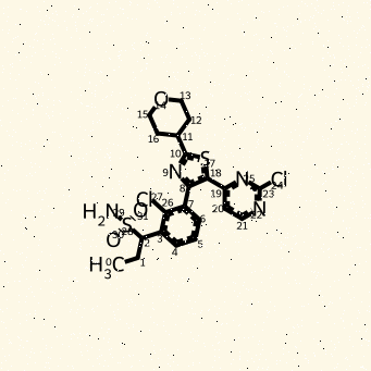 CCC(c1cccc(-c2nc(C3CCOCC3)sc2-c2ccnc(Cl)n2)c1Cl)S(N)(=O)=O